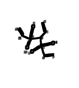 C=C[C](S(=O)(=O)C=C)S(=O)(=O)C=C